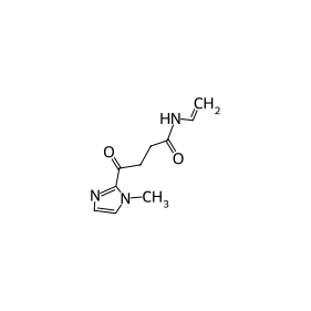 C=CNC(=O)CCC(=O)c1nccn1C